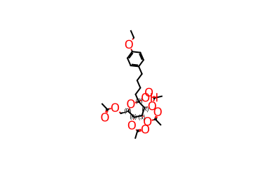 CCOc1ccc(CCCC[C@@]2(O)O[C@H](COC(C)=O)[C@@H](OC(C)=O)[C@H](OC(C)=O)[C@H]2OC(C)=O)cc1